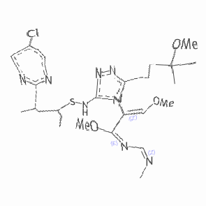 C\N=C/N=C(OC)\C(=C\OC)n1c(CCC(C)(C)OC)nnc1NSC(C)C(C)c1ncc(Cl)cn1